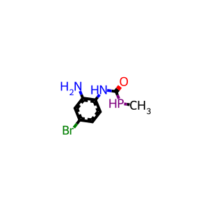 CPC(=O)Nc1ccc(Br)cc1N